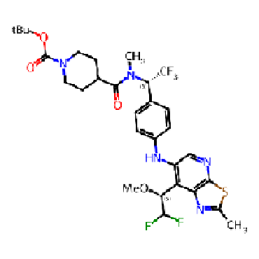 CO[C@@H](c1c(Nc2ccc([C@H](N(C)C(=O)C3CCN(C(=O)OC(C)(C)C)CC3)C(F)(F)F)cc2)cnc2sc(C)nc12)C(F)F